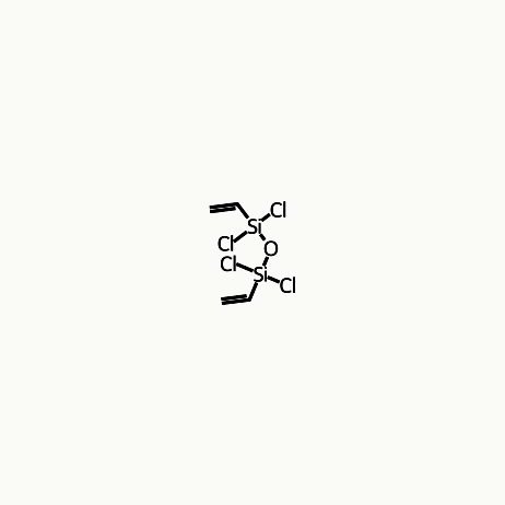 C=C[Si](Cl)(Cl)O[Si](Cl)(Cl)C=C